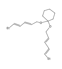 CCC=CC=CCOC1(OCC=CC=CCC)CCCCC1